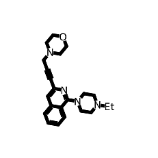 CCN1CCN(c2nc(C#CCN3CCOCC3)cc3ccccc23)CC1